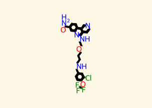 NC(=O)c1ccc2c(c1)nc(NCCOCCCCNCc1ccc(OC(F)(F)F)c(Cl)c1)c1ccncc12